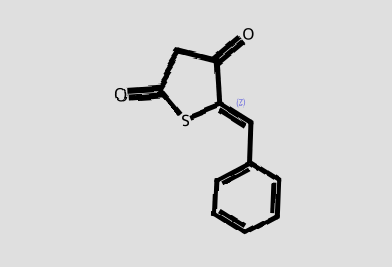 O=C1CC(=O)/C(=C/c2ccccc2)S1